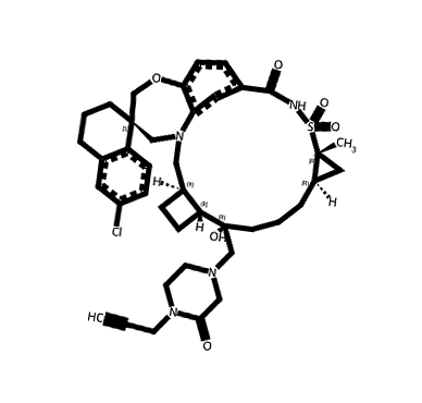 C#CCN1CCN(C[C@@]2(O)CCC[C@@H]3C[C@@]3(C)S(=O)(=O)NC(=O)c3ccc4c(c3)N(C[C@@H]3CC[C@H]32)C[C@@]2(CCCc3cc(Cl)ccc32)CO4)CC1=O